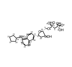 O=P(O)(O)CP(=O)(O)OC[C@H]1O[C@@H](c2cnc3c(NC4CCCC4)ncnc3c2)C[C@@H]1O